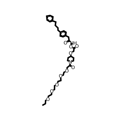 CCCOCCOCCOCCOCCOCC(=O)N1CCC(OCC(=O)ONC(=O)Cc2ccc(CCCCc3ccccc3)cc2)CC1